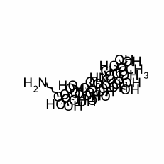 CC(=O)N[C@H]1C(O[C@@H]2OC(CO)[C@H](O)C(O)[C@@H]2O[C@@H]2OC(C)C(O)[C@H](O)[C@@H]2O)[C@@H](O)C(CO)O[C@H]1O[C@@H]1C(O)[C@@H](O[C@H]2C(CO)O[C@@H](O[C@@H]3C(CO)O[C@@H](OCCCCCN)[C@@H](O)C3O)[C@@H](O)C2O)OC(CO)[C@@H]1O